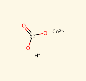 O=[Se]([O-])[O-].[Co+2].[H+]